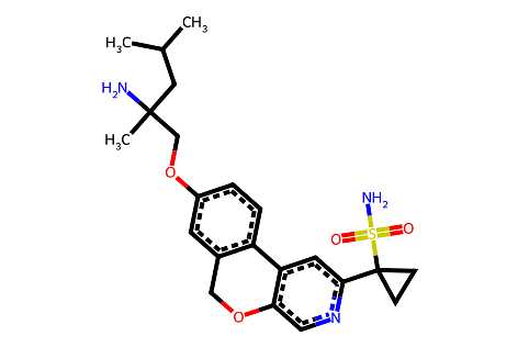 CC(C)CC(C)(N)COc1ccc2c(c1)COc1cnc(C3(S(N)(=O)=O)CC3)cc1-2